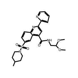 COC(CNC(=O)c1cc(-c2ccccn2)nc2ccc(S(=O)(=O)N3CCC(C)CC3)cc12)OC